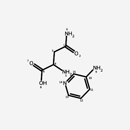 NC(=O)CC(N)C(=O)O.Nc1cccnc1